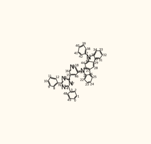 c1ccc(-c2nc(-c3ccccc3)nc(-c3cncc(-n4c5ccccc5c5cc6c7ccccc7n(-c7ccccc7)c6cc54)c3)n2)cc1